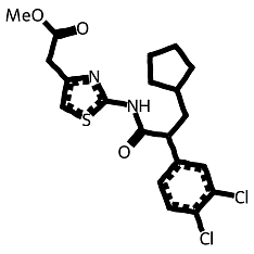 COC(=O)Cc1csc(NC(=O)C(CC2CCCC2)c2ccc(Cl)c(Cl)c2)n1